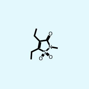 CCC1=C(CC)S(=O)(=O)N(C)C1=O